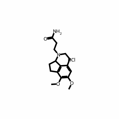 COc1cc2c3c(c1OC)CCC3N(CCC(N)=O)CC2.Cl